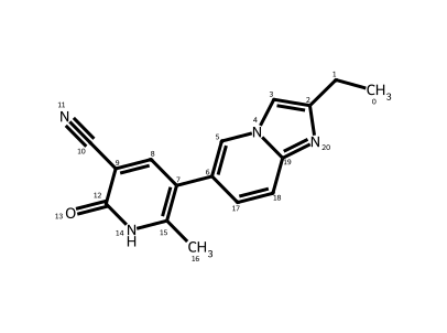 CCc1cn2cc(-c3cc(C#N)c(=O)[nH]c3C)ccc2n1